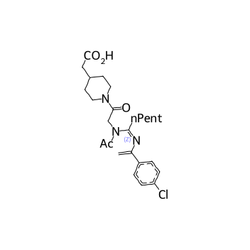 C=C(/N=C(/CCCCC)N(CC(=O)N1CCC(CC(=O)O)CC1)C(C)=O)c1ccc(Cl)cc1